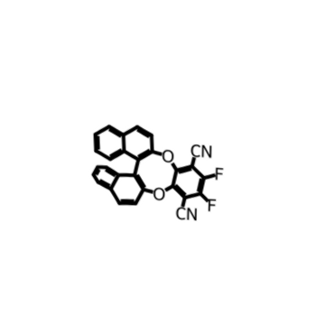 N#Cc1c(F)c(F)c(C#N)c2oc3ccc4ccccc4c3c3c(ccc4ccccc43)oc12